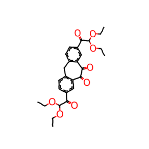 CCOC(OCC)C(=O)c1ccc2c(c1)C(=O)C(=O)c1cc(C(=O)C(OCC)OCC)ccc1C2